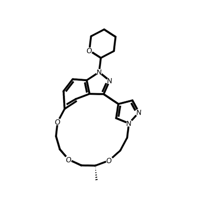 C[C@@H]1COCCOc2ccc3c(c2)c(nn3C2CCCCO2)-c2cnn(c2)CCO1